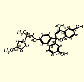 CC1=CC(c2ccc(OC[C@H](C)N3CC[C@@H](C)C3)cc2)(c2cccc(O)c2)Oc2ccc(O)cc21